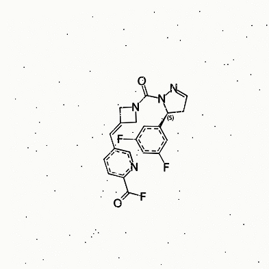 O=C(F)c1ccc(C=C2CN(C(=O)N3N=CC[C@H]3c3cc(F)cc(F)c3)C2)cn1